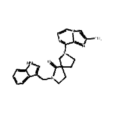 Cc1cn2ccnc(N3CCC4(CCN(Cc5c[nH]c6ccccc56)C4=O)C3)c2n1